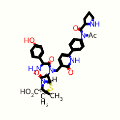 CC(=O)N(C(=O)C1CCCN1)c1ccc(-c2ccc(CN(C(=O)C(N)c3ccc(O)cc3)[C@@H]3C(=O)N4[C@@H]3SC(C)(C)[C@@H]4C(=O)O)c(=O)[nH]2)cc1